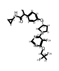 CC(C(=O)NC1CC1)c1ccc(O[C@@H]2CCN(c3ncnc(OCC(C)(F)F)c3F)C2)cc1